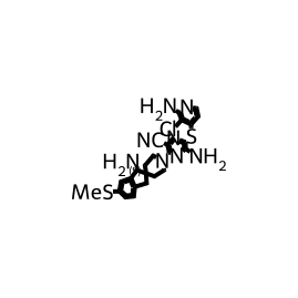 CSc1ccc2c(c1)[C@@H](N)C1(CCN(c3nc(N)c(Sc4ccnc(N)c4Cl)nc3C#N)CC1)C2